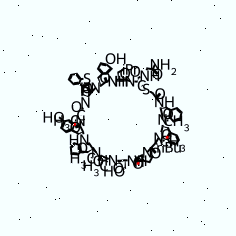 CCCC[C@H]1C(=O)N2CCC[C@@H]2C(=O)N[C@@H](CO)C(=O)N[C@@H](C)C(=O)N(C)[C@@H](Cc2ccccc2)C(=O)N[C@@H](Cc2ccc(O)cc2)C(=O)N(C)CC(=O)N[C@@H](Cc2csc3ccccc23)C(=O)N[C@@H](Cc2ccc(O)cc2)C(=O)N[C@@H](CC(C)C)C(=O)N[C@H](C(=O)NCC(N)=O)CSCC(=O)N[C@@H](Cc2ccccc2)C(=O)N(C)[C@@H](Cc2ccccc2)C(=O)N1C